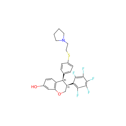 Oc1ccc2c(c1)OC[C@H](c1c(F)c(F)c(F)c(F)c1F)[C@@H]2c1ccc(SCCN2CCCC2)cc1